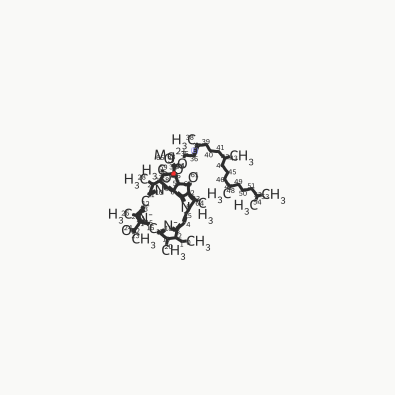 CCC1c2cc3nc4c(c5nc(cc6[n-]c(cc([n-]2)C1C)c(C(C)=O)c6C)C(C)C5CCC(=O)OC/C=C(\C)CCCC(C)CCCC(C)CCCC(C)C)C(C(=O)OC)C(=O)C4=C3C.[Mg+2]